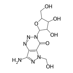 Nc1nn(CO)c2c(=O)n(C3OC(CO)C(O)C3O)nnc12